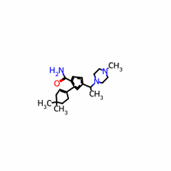 CC(c1ccc(C(N)=O)c(C2=CCC(C)(C)CC2)c1)N1CCN(C)CC1